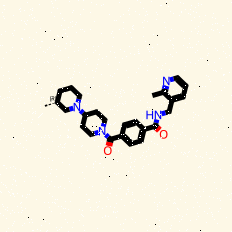 Cc1ncccc1CNC(=O)c1ccc(C(=O)N2CCC(N3CCC[C@@H](C)C3)CC2)cc1